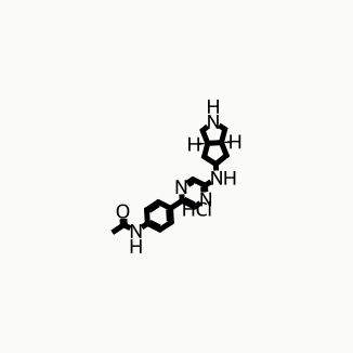 CC(=O)Nc1ccc(-c2cnc(NC3C[C@H]4CNC[C@H]4C3)cn2)cc1.Cl